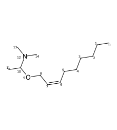 CCCCCC/C=C\COC(C)N(C)C